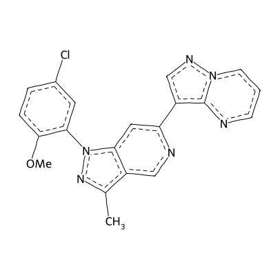 COc1ccc(Cl)cc1-n1nc(C)c2cnc(-c3cnn4cccnc34)cc21